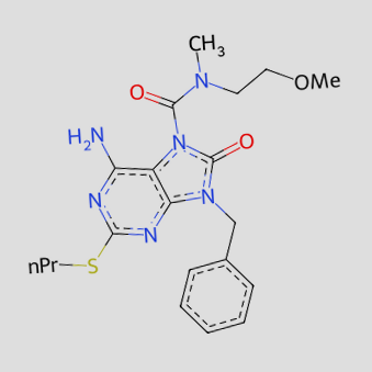 CCCSc1nc(N)c2c(n1)n(Cc1ccccc1)c(=O)n2C(=O)N(C)CCOC